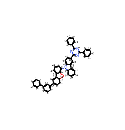 c1ccc(-c2cccc(-c3ccc4oc5c(-n6c7ccccc7c7cc(-c8nc(-c9ccccc9)nc(-c9ccccc9)n8)ccc76)cccc5c4c3)c2)cc1